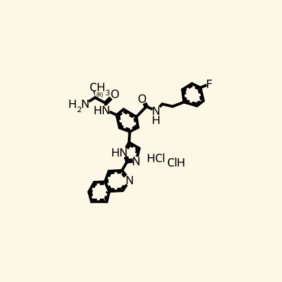 C[C@@H](N)C(=O)Nc1cc(C(=O)NCCc2ccc(F)cc2)cc(-c2cnc(-c3cc4ccccc4cn3)[nH]2)c1.Cl.Cl